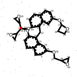 c1cc2ccc(OCC3CO3)c(Cc3c(OCC4CO4)ccc4ccc(OC5CCO5)cc34)c2cc1OCC1CO1